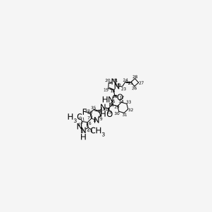 Cc1n[nH]c(C)c1-c1ncc(NC(=O)[C@@H](NC(=O)c2ccnn2CC=C2CCC2)C2CCCCC2)cc1F